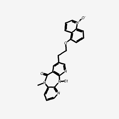 CCN1c2ncc(CCOc3cccc4c3ccc[n+]4[O-])cc2C(=O)N(C)c2cccnc21